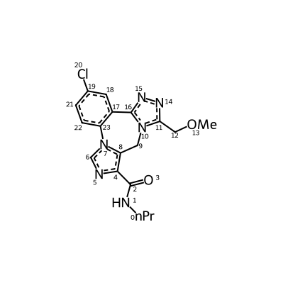 CCCNC(=O)c1ncn2c1Cn1c(COC)nnc1-c1cc(Cl)ccc1-2